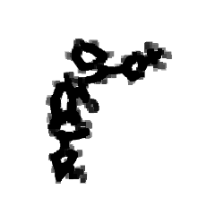 NC12CC1CN(c1ccc3c(C(=O)NCC(c4cnc(C(F)(F)F)nc4)N4CCOCC4)c(Cl)ccc3n1)C2